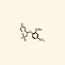 COc1cc([N+](=O)[O-])ccc1O[C@@H](CS(C)(=O)=O)[C@@H]1CCNC1